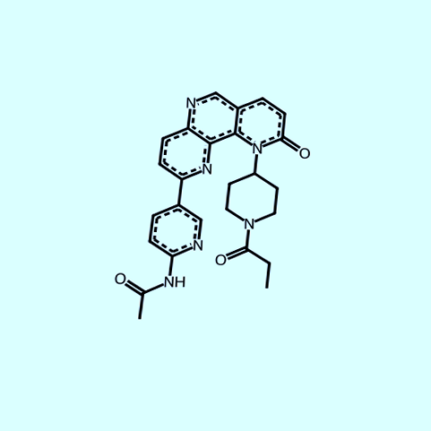 CCC(=O)N1CCC(n2c(=O)ccc3cnc4ccc(-c5ccc(NC(C)=O)nc5)nc4c32)CC1